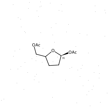 CC(=O)OCC1CC[C@H](OC(C)=O)O1